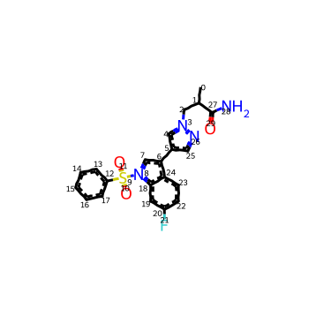 CC(Cn1cc(-c2cn(S(=O)(=O)c3ccccc3)c3cc(F)ccc23)cn1)C(N)=O